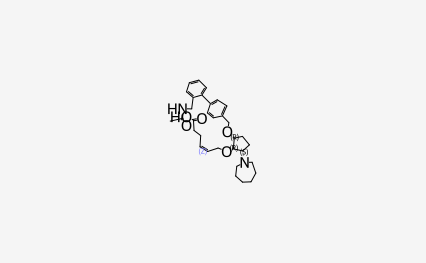 CC(=O)NCc1ccccc1-c1ccc(CO[C@@H]2CC[C@H](N3CCCCCC3)[C@H]2OC/C=C\CCC(=O)O)cc1